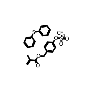 C=C(C)C(=O)OCc1ccc(OS(=O)(=O)C(F)(F)F)cc1.c1ccc(Sc2ccccc2)cc1